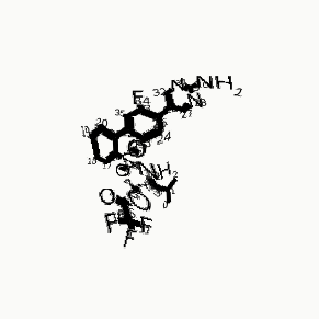 CC(C)[C@H](COC(=O)C(F)(F)F)NS(=O)(=O)c1ccccc1-c1ccc(-c2cnc(N)nc2)c(F)c1